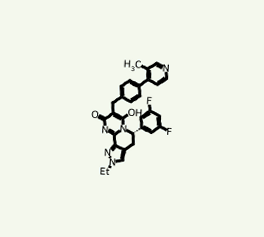 CCn1cc2c(n1)-c1nc(=O)c(Cc3ccc(-c4ccncc4C)cc3)c(O)n1[C@H](c1cc(F)cc(F)c1)C2